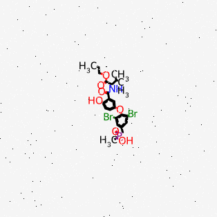 CCCOC(=O)C(NC(=O)c1cc(Oc2c(Br)cc(CP(C)(=O)O)cc2Br)ccc1O)C(C)C